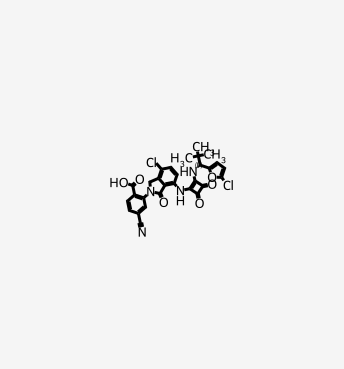 CC(C)(C)[C@@H](Nc1c(Nc2ccc(Cl)c3c2C(=O)N(c2cc(C#N)ccc2C(=O)O)C3)c(=O)c1=O)c1ccc(Cl)o1